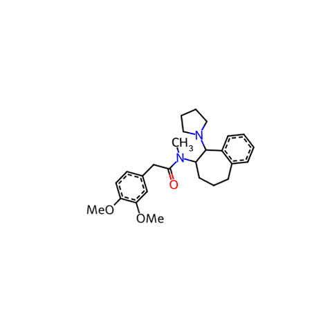 COc1ccc(CC(=O)N(C)C2CCCc3ccccc3C2N2CCCC2)cc1OC